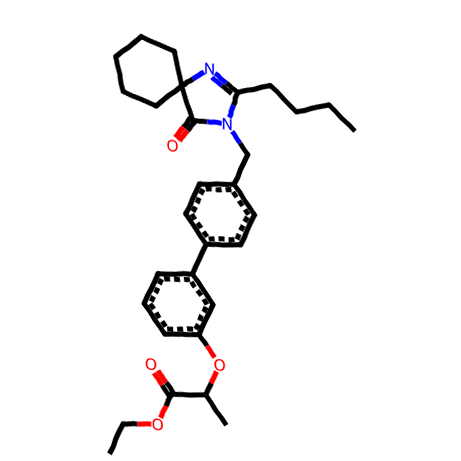 CCCCC1=NC2(CCCCC2)C(=O)N1Cc1ccc(-c2cccc(OC(C)C(=O)OCC)c2)cc1